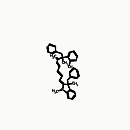 C=C(/C=C/C=C/C=C1/N(C)c2ccccc2C1(C)Cc1ccccc1)C(C)(Cc1ccccc1)c1ccccc1C